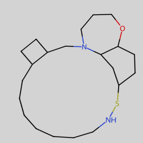 C1CCCNSC2CCC3OCCCN(CC4CCC4CCC1)C3C2